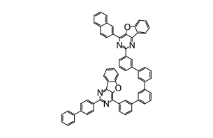 c1ccc(-c2ccc(-c3nc(-c4cccc(-c5cccc(-c6cccc(-c7cccc(-c8nc(-c9ccc%10ccccc%10c9)c9oc%10ccccc%10c9n8)c7)c6)c5)c4)c4oc5ccccc5c4n3)cc2)cc1